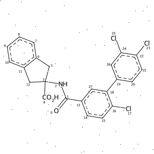 O=C(NC1(C(=O)O)Cc2ccccc2C1)c1ccc(Cl)c(-c2ccc(Cl)c(Cl)c2)c1